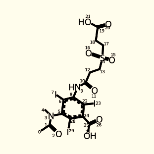 CC(=O)N(C)c1c(I)c(NC(=O)CCS(=O)(=O)CCC(=O)O)c(I)c(C(=O)O)c1I